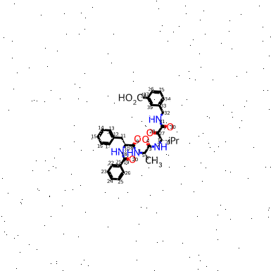 CC(C)[C@H](NC(=O)[C@H](C)NC(=O)[C@H](Cc1ccccc1)NC(=O)c1ccccc1)C(=O)C(=O)NCc1cccc(C(=O)O)c1